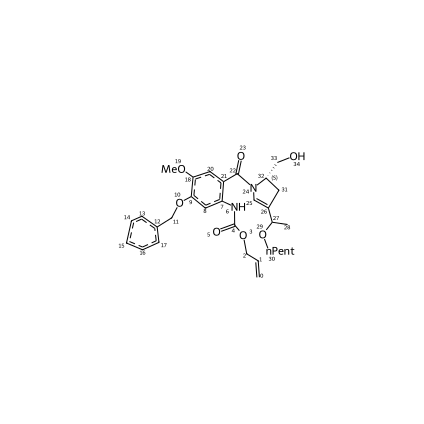 C=CCOC(=O)Nc1cc(OCc2ccccc2)c(OC)cc1C(=O)N1C=C(C(C)OCCCCC)C[C@H]1CO